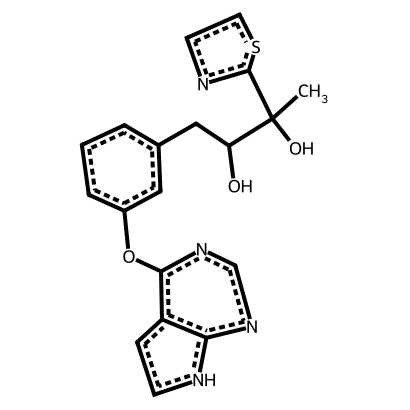 CC(O)(c1nccs1)C(O)Cc1cccc(Oc2ncnc3[nH]ccc23)c1